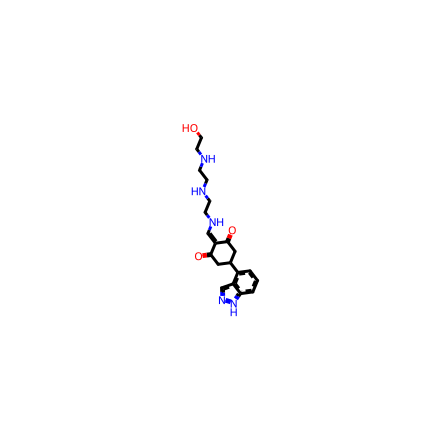 O=C1CC(c2cccc3[nH]ncc23)CC(=O)C1=CNCCNCCNCCO